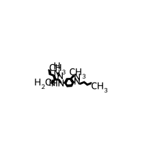 C=Nc1c(Nc2ccc3c(c2)c(C)nn3CCCCC)n[nH]c1/C=C\C